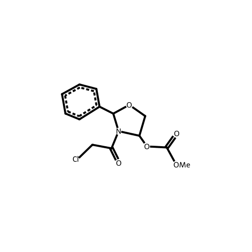 COC(=O)OC1COC(c2ccccc2)N1C(=O)CCl